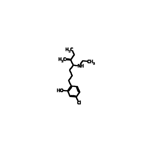 C=C(CC)C(CCCc1ccc(Cl)cc1O)NCC